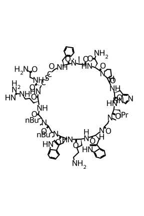 CCCC[C@H]1C(=O)N(C)[C@@H](CCCC)C(=O)N[C@@H](CCCNC(=N)N)C(=O)N[C@H](C(=O)NCC(N)=O)CSCC(=O)N[C@@H](Cc2ccccc2)C(=O)N(C)[C@@H](C)C(=O)N[C@@H](CC(N)=O)C(=O)N2CCC[C@H]2C(=O)N[C@@H](Cc2cnc[nH]2)C(=O)N[C@@H](CC(C)C)C(=O)N(C)CC(=O)N[C@@H](Cc2c[nH]c3ccccc23)C(=O)N[C@@H](CCCCN)C(=O)N[C@@H](Cc2c[nH]c3ccccc23)C(=O)N1C